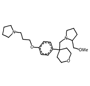 COCC1CCCN1CC1(c2ccc(OCCCN3CCCC3)cc2)CCOCC1